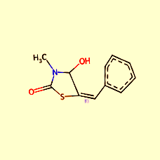 CN1C(=O)S/C(=C/c2ccccc2)C1O